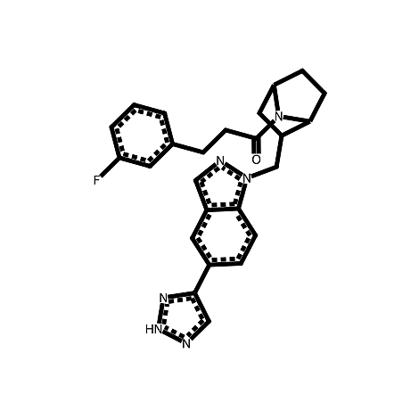 O=C(CCc1cccc(F)c1)N1C2CCC1C(Cn1ncc3cc(-c4cn[nH]n4)ccc31)C2